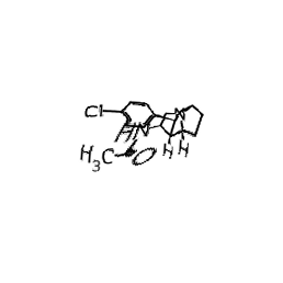 CC(=O)NC1CN2C3CC[C@@H]2[C@H]1[C@@H](c1ccc(Cl)cc1)C3